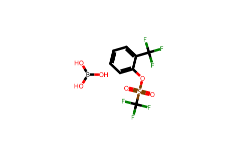 O=S(=O)(Oc1ccccc1C(F)(F)F)C(F)(F)F.OB(O)O